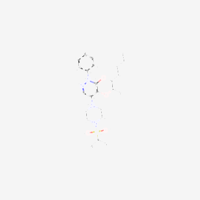 CCCCCC(C)Oc1c(N2CCN(S(=O)(=O)C(C)C)CC2)cnn(-c2ccccc2)c1=O